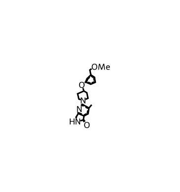 COCc1cccc(OC2CCN(c3nc4c(cc3C)C(=O)NC4)CC2)c1